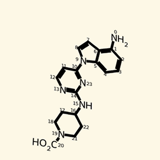 Nc1cccc2c1ccn2-c1ccnc(NC2CCN(C(=O)O)CC2)n1